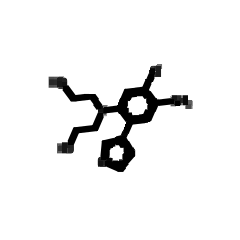 Nc1cc(-c2ccoc2)c(N(CCO)CCO)cc1Cl